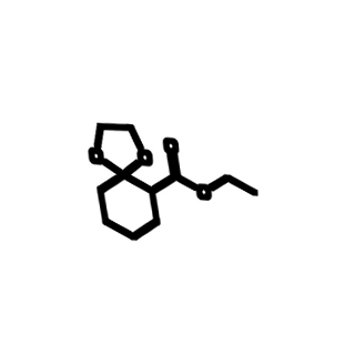 CCOC(=O)C1CCCCC12OCCO2